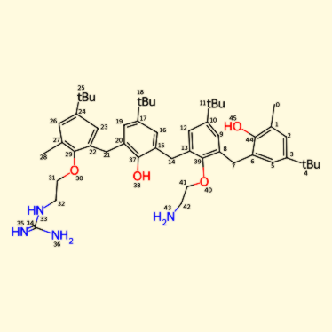 Cc1cc(C(C)(C)C)cc(Cc2cc(C(C)(C)C)cc(Cc3cc(C(C)(C)C)cc(Cc4cc(C(C)(C)C)cc(C)c4OCCNC(=N)N)c3O)c2OCCN)c1O